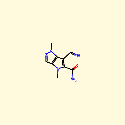 Cn1ncc2c1c(C=N)c(C(N)=O)n2C